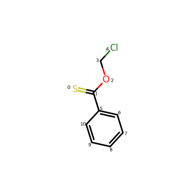 S=C(OCCl)c1ccccc1